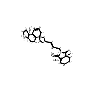 COC1(CCCCCN2C(=O)[C@H]3CCCC[C@H]3C2=O)CC=CC2=C1CC[C@H]1NCC[C@@H]21